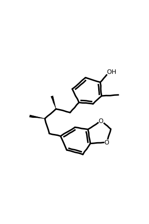 Cc1cc(C[C@H](C)[C@H](C)Cc2ccc3c(c2)OCO3)ccc1O